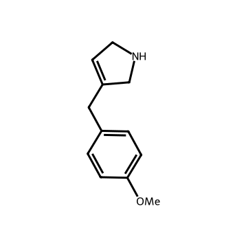 COc1ccc(CC2=CCNC2)cc1